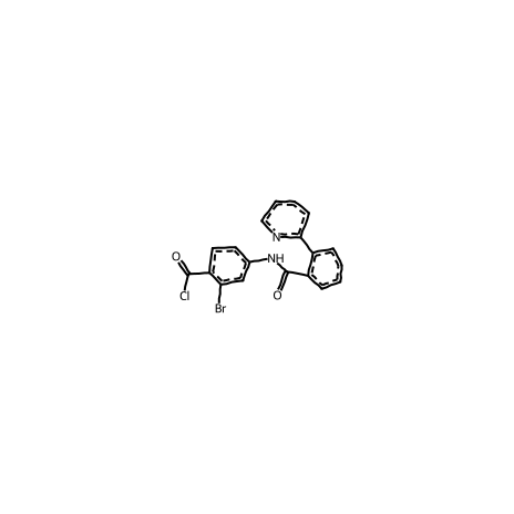 O=C(Cl)c1ccc(NC(=O)c2ccccc2-c2ccccn2)cc1Br